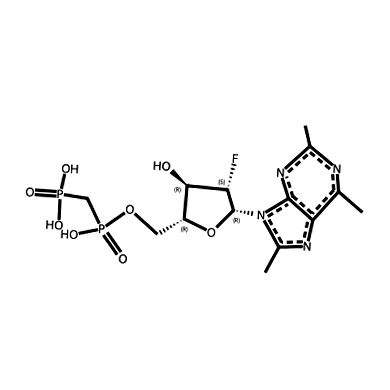 Cc1nc(C)c2nc(C)n([C@@H]3O[C@H](COP(=O)(O)CP(=O)(O)O)[C@@H](O)[C@@H]3F)c2n1